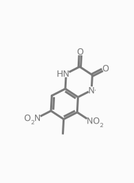 Cc1c([N+](=O)[O-])cc2c(c1[N+](=O)[O-])[N]C(=O)C(=O)N2